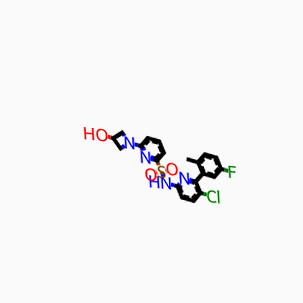 Cc1ccc(F)cc1-c1nc(NS(=O)(=O)c2cccc(N3CC(O)C3)n2)ccc1Cl